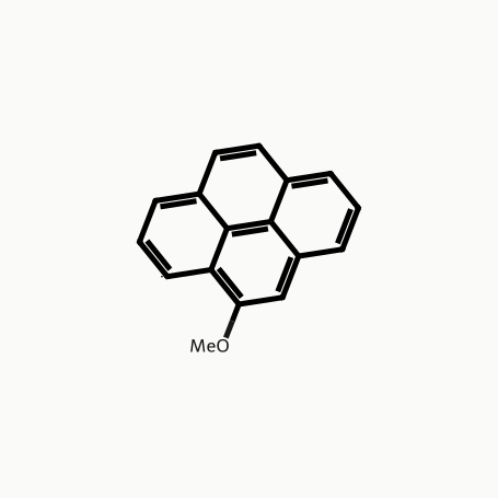 COc1cc2cccc3ccc4cc[c]c1c4c32